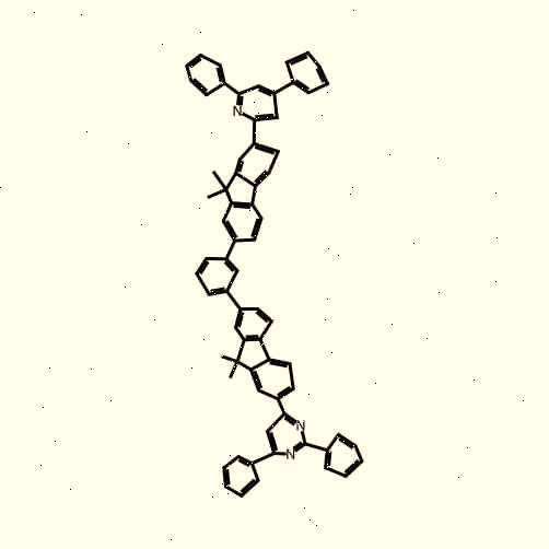 CC1(C)c2cc(-c3cccc(-c4ccc5c(c4)C(C)(C)c4cc(-c6cc(-c7ccccc7)nc(-c7ccccc7)n6)ccc4-5)c3)ccc2-c2ccc(-c3cc(-c4ccccc4)cc(-c4ccccc4)n3)cc21